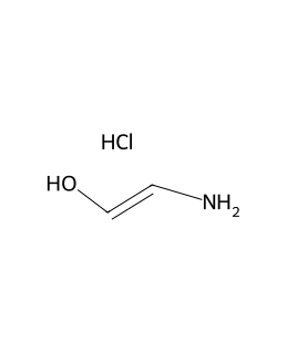 Cl.NC=CO